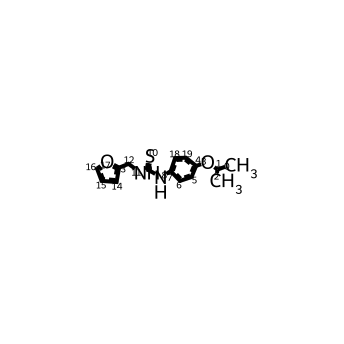 CC(C)Oc1ccc(NC(=S)NCc2ccco2)cc1